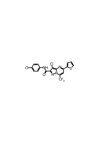 O=C(Nc1ccc(Cl)cc1)c1nn2c(C(F)(F)F)cc(-c3cccs3)nc2c1Cl